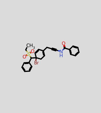 CCS(=O)(=O)C(c1ccccc1)C1(Br)C=CC(CC#CNC(=O)c2ccccc2)=CC1